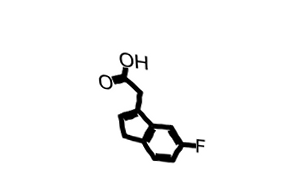 O=C(O)CC1=CCc2ccc(F)cc21